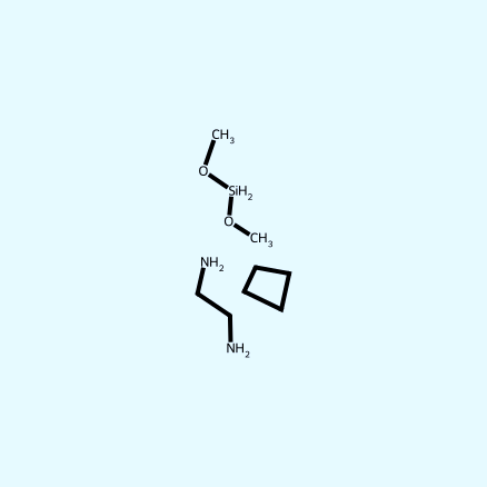 C1CCC1.CO[SiH2]OC.NCCN